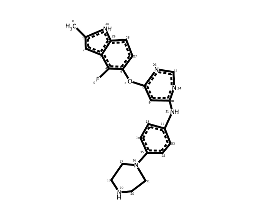 Cc1cc2c(F)c(Oc3cc(Nc4ccc(N5CCNCC5)cc4)ncn3)ccc2[nH]1